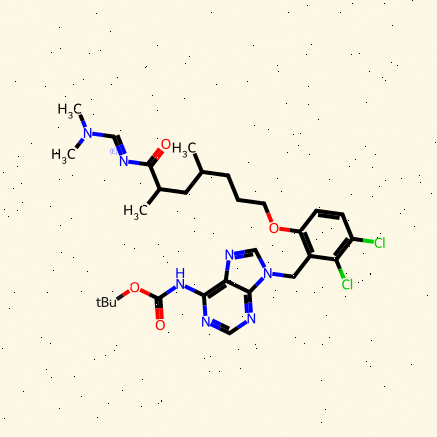 CC(CCCOc1ccc(Cl)c(Cl)c1Cn1cnc2c(NC(=O)OC(C)(C)C)ncnc21)CC(C)C(=O)/N=C/N(C)C